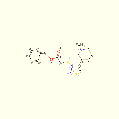 CN1CCC=C(C2=CSNN2SCC(=O)OCc2ccccc2)C1